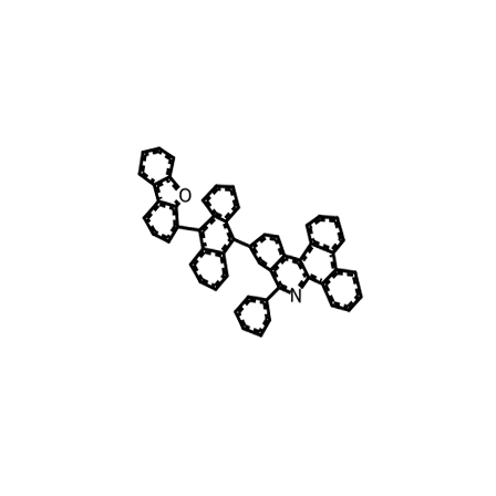 c1ccc(-c2nc3c4ccccc4c4ccccc4c3c3ccc(-c4c5ccccc5c(-c5cccc6c5oc5ccccc56)c5ccccc45)cc23)cc1